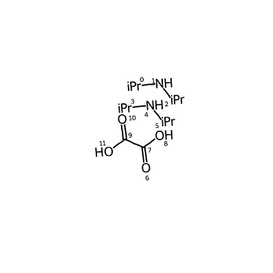 CC(C)NC(C)C.CC(C)NC(C)C.O=C(O)C(=O)O